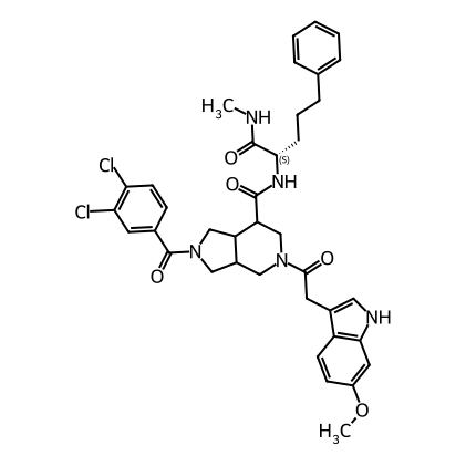 CNC(=O)[C@H](CCCc1ccccc1)NC(=O)C1CN(C(=O)Cc2c[nH]c3cc(OC)ccc23)CC2CN(C(=O)c3ccc(Cl)c(Cl)c3)CC21